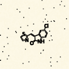 O=C1Nc2ccc(Cl)cc2C1=Cc1nccs1